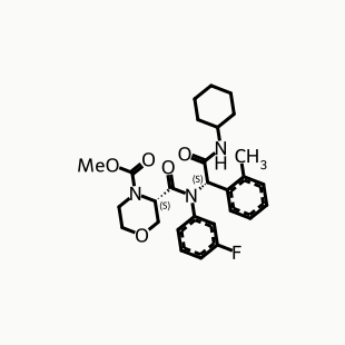 COC(=O)N1CCOC[C@H]1C(=O)N(c1cccc(F)c1)[C@H](C(=O)NC1CCCCC1)c1ccccc1C